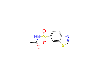 CC(=O)NS(=O)(=O)c1ccc2ncsc2c1